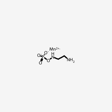 NCCNOP(=O)([O-])[O-].[Mn+2]